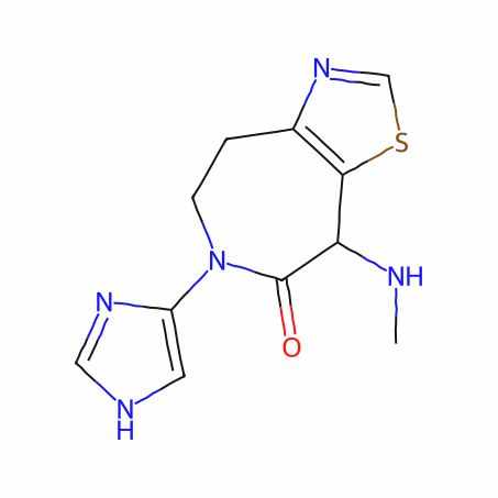 CNC1C(=O)N(c2c[nH]cn2)CCc2ncsc21